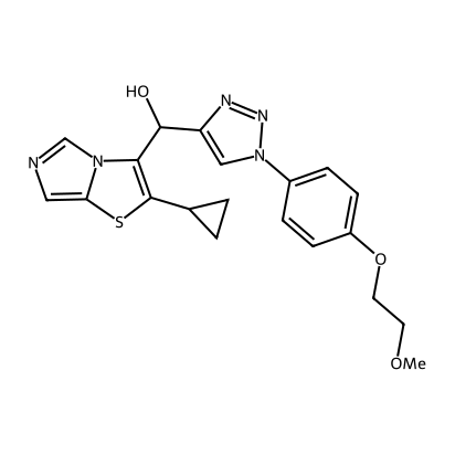 COCCOc1ccc(-n2cc(C(O)c3c(C4CC4)sc4cncn34)nn2)cc1